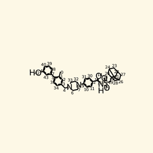 Cc1cc(CN2CCN(c3ccc(C(=O)NS(=O)(=O)CC45CC6CC(CC(C6)C4)C5)cc3)CC2)ccc1-c1cccc(O)c1